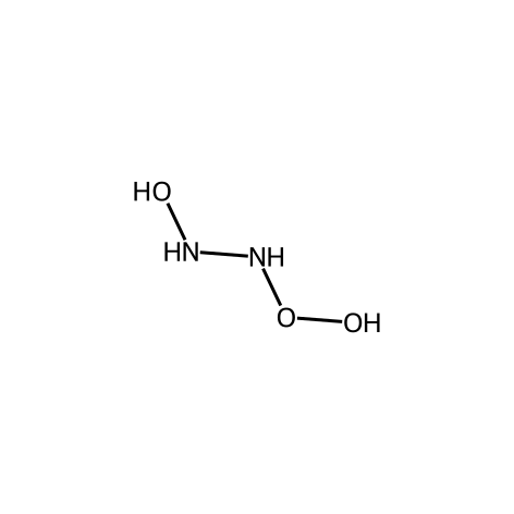 ONNOO